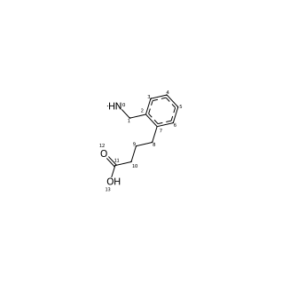 [NH]Cc1ccccc1CCCC(=O)O